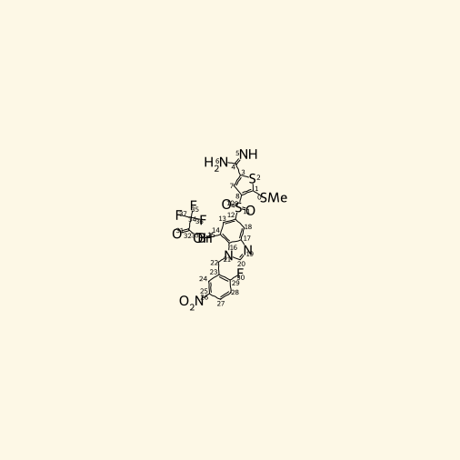 CSc1sc(C(=N)N)cc1S(=O)(=O)c1cc(Br)c2c(c1)ncn2Cc1cc([N+](=O)[O-])ccc1F.O=C(O)C(F)(F)F